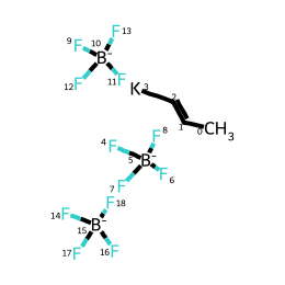 C/C=[CH]/[K].F[B-](F)(F)F.F[B-](F)(F)F.F[B-](F)(F)F